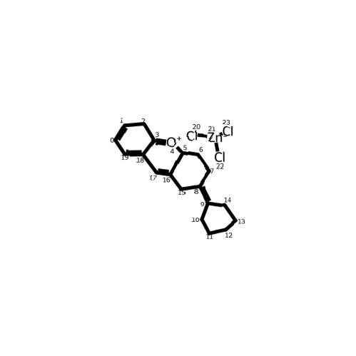 C1=CCC2=[O+]C3CCC(=C4CCCCC4)CC3=CC2=C1.[Cl][Zn-]([Cl])[Cl]